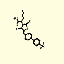 CCCCC(C(=O)O)N1C(=O)C(=Cc2ccc(-c3ccc(C(F)(F)F)cc3)cc2)SC1=S